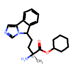 C[C@](N)(CCC1c2ccccc2-c2cncn21)C(=O)OC1CCCCC1